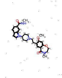 CNC(=O)c1ccc2ccn(C3CCN(CCc4cc5c(cc4OC)OCCN(C)C5=O)CC3)c2c1